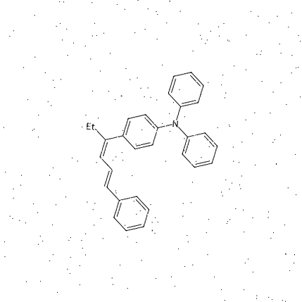 CCC(=CC=Cc1ccccc1)c1ccc(N(c2ccccc2)c2ccccc2)cc1